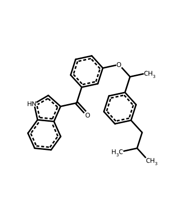 CC(C)Cc1cccc(C(C)Oc2cccc(C(=O)c3c[nH]c4ccccc34)c2)c1